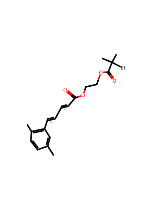 CCC(C)(C)C(=O)OCCOC(=O)/C=C/C=C/c1cc(C)ccc1C